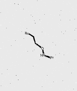 CCC(C)CCONC(C)C